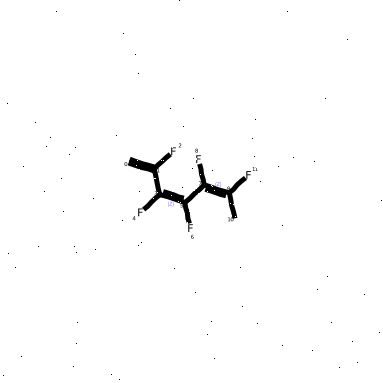 C=C(F)/C(F)=C(F)\C(F)=C(/C)F